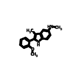 CNc1ccc2[nH]c(-c3ccccc3OC)c(C)c2c1